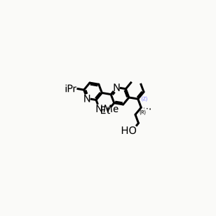 C/C=C(\c1cc(CC)c(-c2ccc(C(C)C)nc2NC)nc1C)[C@H](C)CCO